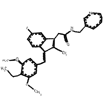 CCc1c(OC)cc(/C=C2/C(C)=C(CC(=O)NCc3cccnc3)c3cc(F)ccc32)cc1OC